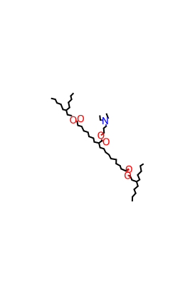 CCCCCC(CCCCC)CCOC(=O)CCCCCCCCCC(CCCCCCCC(=O)OCCC(CCCCC)CCCCC)C(=O)OCCCN(CC)CC